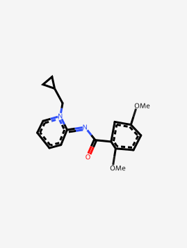 COc1ccc(OC)c(C(=O)/N=c2\ccccn2CC2CC2)c1